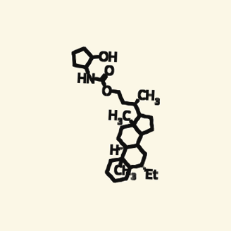 CC[C@H]1CC2C3CCC([C@H](C)CCOC(=O)NC4CCCC4O)C3(C)CC[C@@H]2C2(C)CCCCC12